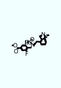 COC(=O)c1ccc(CN(CCc2cccc3c2cnn3C)[SH](=O)=O)c(F)c1